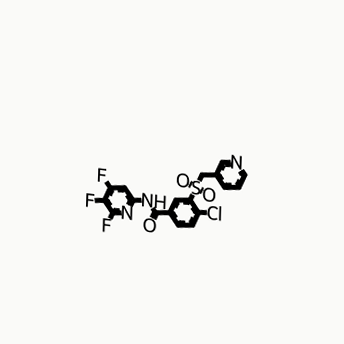 O=C(Nc1cc(F)c(F)c(F)n1)c1ccc(Cl)c(S(=O)(=O)Cc2cccnc2)c1